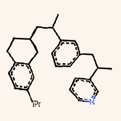 CC(C)c1ccc2c(c1)CC(CC(C)c1cccc(CC(C)c3cccnc3)c1)CC2